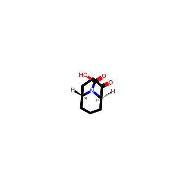 O=C1CC[C@H]2CCC[C@H]1N2C(=O)O